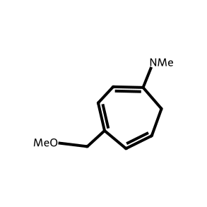 CNC1=CC=C(COC)C=CC1